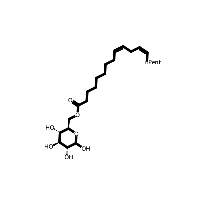 CCCCC/C=C\C/C=C\CCCCCCCC(=O)OC[C@H]1OC(O)[C@H](O)[C@@H](O)[C@@H]1O